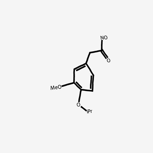 COc1cc(CC(=O)N=O)ccc1OC(C)C